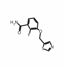 NC(=O)c1cccc(OCc2cncs2)c1F